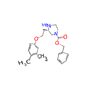 Cc1ccc(OCC[C@@H]2CN(C(=O)OCc3ccccc3)CCN2)cc1C